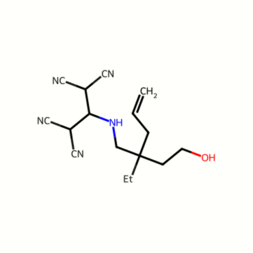 C=CCC(CC)(CCO)CNC(C(C#N)C#N)C(C#N)C#N